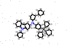 c1ccc(-c2cccc(N(c3ccc(C(c4ccccc4)(c4ccccc4)c4ccccc4)cc3)c3ccc4c(c3)c3ccccc3n4-c3ccccc3)c2)cc1